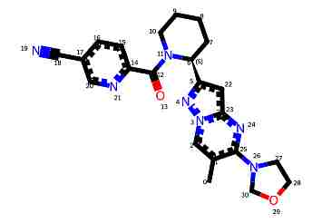 Cc1cn2nc([C@@H]3CCCCN3C(=O)c3ccc(C#N)cn3)cc2nc1N1CCOC1